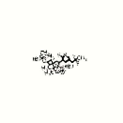 CC(F)(F)Cc1cnc(F)c([C@H](CC2(O[Si](C)(C)C(C)(C)C)CC(O[Si](C)(C)C(C)(C)C)C2)N[S@+]([O-])C(C)(C)C)c1